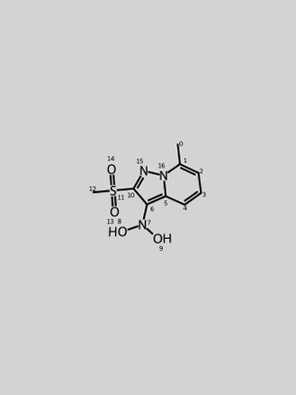 Cc1cccc2c(N(O)O)c(S(C)(=O)=O)nn12